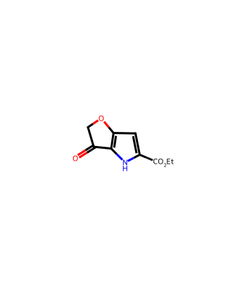 CCOC(=O)c1cc2c([nH]1)C(=O)CO2